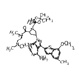 COc1cc(C)cc2cc(-c3nn(C4CC(C(=O)N(C)CCN(C)C)N(C(=O)OC(C)(C)C)C4)c4ncnc(N)c34)sc12